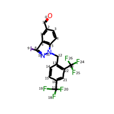 O=Cc1ccc2c(c1)c(I)nn2Cc1ccc(C(F)(F)F)cc1C(F)(F)F